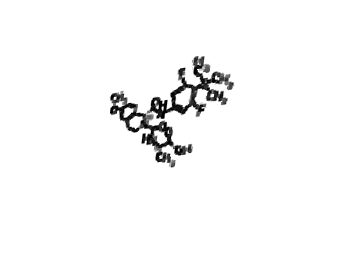 COc1ccc2c(c1)CCN(C(=O)N[C@@H](C)C(=O)O)[C@H]2C(=O)Nc1cc(F)c(S(C)(C)C)c(F)c1